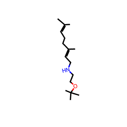 CC(C)=CCC/C(C)=C/CNCCOC(C)(C)C